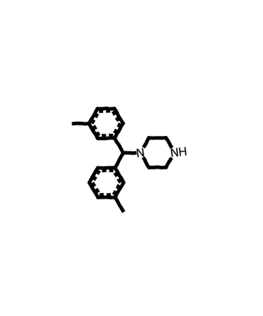 Cc1cccc(C(c2cccc(C)c2)N2CCNCC2)c1